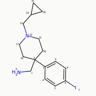 NCC1(c2ccc(I)cc2)CCN(CC2CC2)CC1